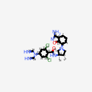 C[C@H]1CN(c2cccc3c(N)noc23)C[C@]1(C)NC(=O)c1c(Cl)cc(N(C=N)C=N)cc1Cl